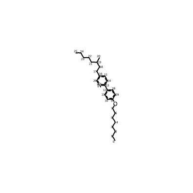 CCCCCCCCOc1ccc(-c2ccc(CCC(C)CCCCC)cn2)cc1